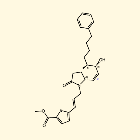 COC(=O)c1ccc(C=CCN2C(=O)CC[C@@H]2/C=C\[C@H](O)[C@@H](C)CCCCc2ccccc2)s1